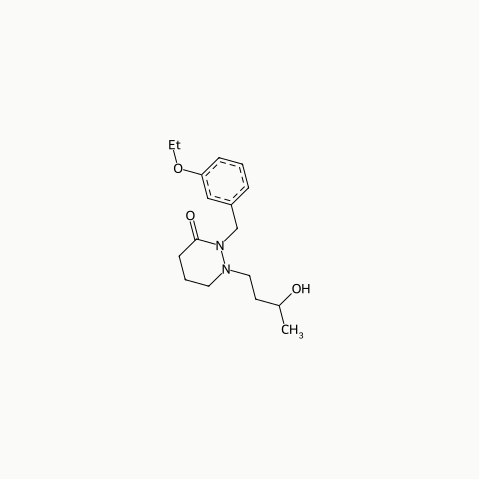 CCOc1cccc(CN2C(=O)CCCN2CCC(C)O)c1